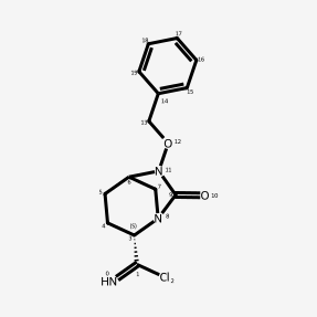 N=C(Cl)[C@@H]1CCC2CN1C(=O)N2OCc1ccccc1